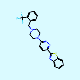 FC(F)(F)c1ccccc1CN1CCN(c2ccc(-c3nc4ccccc4s3)nn2)CC1